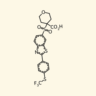 O=C(O)C1(S(=O)(=O)c2ccc3nc(-c4ccc(SC(F)(F)F)cc4)sc3c2)CCOCC1